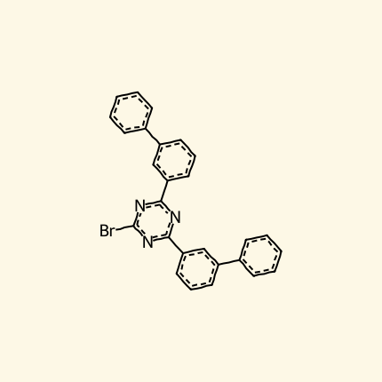 Brc1nc(-c2cccc(-c3ccccc3)c2)nc(-c2cccc(-c3ccccc3)c2)n1